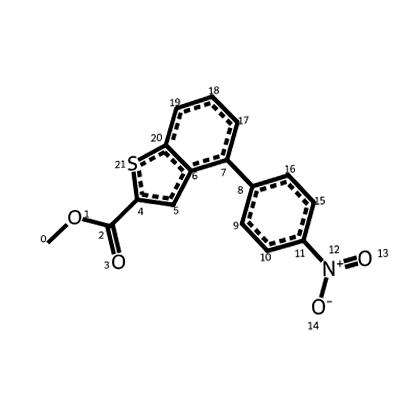 COC(=O)c1cc2c(-c3ccc([N+](=O)[O-])cc3)cccc2s1